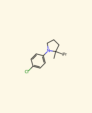 CC(C)C1(C)CCCN1c1ccc(Cl)cc1